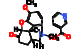 COc1ccc2c3c1O[C@H]1C(=O)CC[C@H]4[C@@H](C2)N(C)CC[C@]314.O=C(O)c1cccnc1